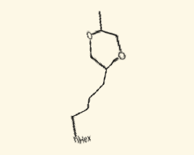 CCCCCCCCCCC1COC(C)CO1